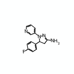 NC1=NN(c2cccnc2)C(c2ccc(F)cc2)C1